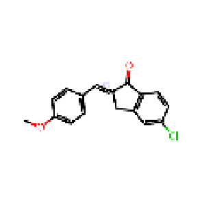 COc1ccc(/C=C2\Cc3cc(Cl)ccc3C2=O)cc1